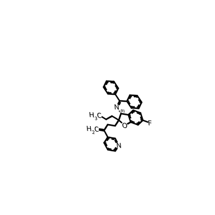 C=C(CCC1(CCC)Oc2cc(F)ccc2[C@H]1N=C(c1ccccc1)c1ccccc1)c1cccnc1